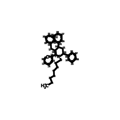 CCCCCCCCP1C(c2ccccc2)=C(Cc2ccccc2)C(c2ccccc2)CC1c1ccccc1